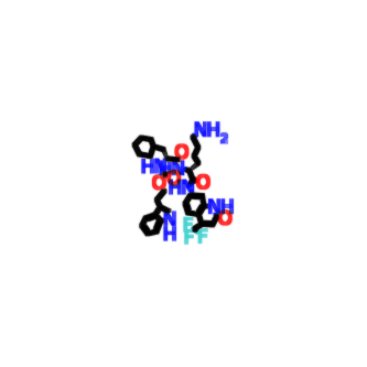 NCCCC[C@H](NC(=O)[C@H](CC1CCCCC1)NC(=O)OCCC1CNc2ccccc21)C(=O)Nc1ccc2c(C(F)(F)F)cc(=O)[nH]c2c1